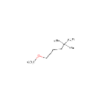 CCCCC(CCCC)(CCCOC(=O)OCC)C(=O)OCC